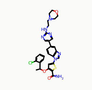 CC(Oc1cc(-n2cnc3cc(-c4cnc(NCCN5CCOCC5)nc4)ccc32)sc1C(N)=O)c1ccccc1Cl